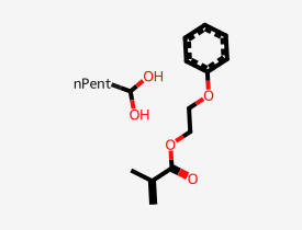 C=C(C)C(=O)OCCOc1ccccc1.CCCCCC(O)O